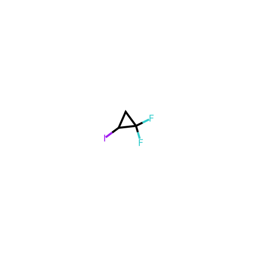 FC1(F)CC1I